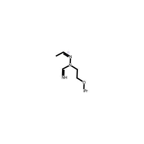 C/C=N\N(C=N)CCOC(C)C